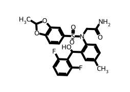 Cc1ccc(N(CC(N)=O)S(=O)(=O)c2ccc3c(c2)OC(C)O3)c(C(O)c2c(F)cccc2F)c1